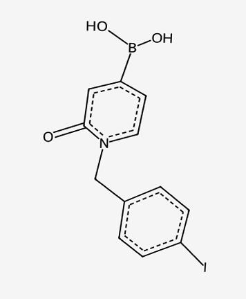 O=c1cc(B(O)O)ccn1Cc1ccc(I)cc1